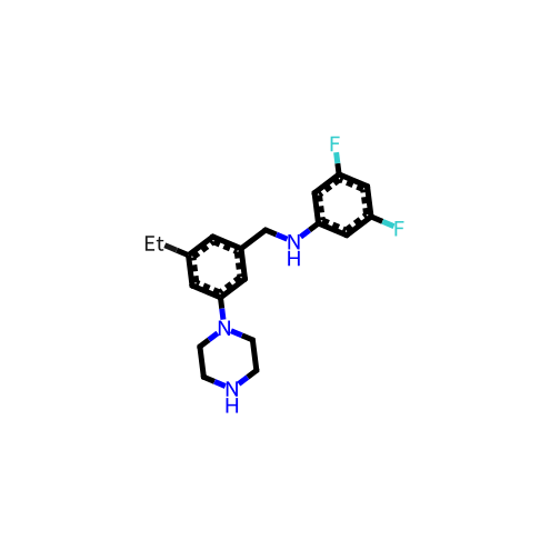 CCc1cc(CNc2cc(F)cc(F)c2)cc(N2CCNCC2)c1